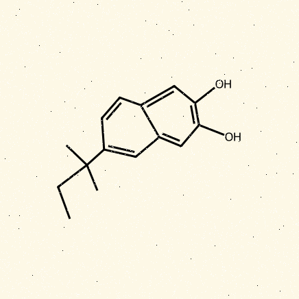 CCC(C)(C)c1ccc2cc(O)c(O)cc2c1